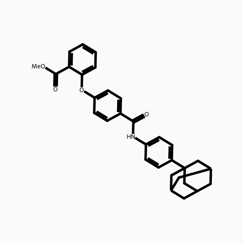 COC(=O)c1ccccc1Oc1ccc(C(=O)Nc2ccc(C34CC5CC(CC(C5)C3)C4)cc2)cc1